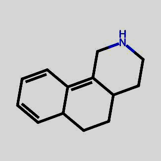 C1=CC2=C3CNCCC3CCC2C=C1